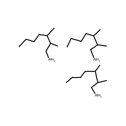 CCCCC(C)C(C)[CH2][AlH2].CCCCC(C)C(C)[CH2][AlH2].CCCCC(C)C(C)[CH2][AlH2]